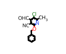 Cc1nc(OCc2ccccc2)c(C#N)c(C=O)c1Cl